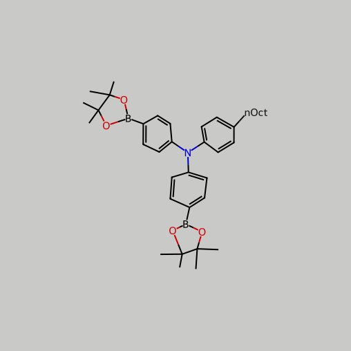 CCCCCCCCc1ccc(N(c2ccc(B3OC(C)(C)C(C)(C)O3)cc2)c2ccc(B3OC(C)(C)C(C)(C)O3)cc2)cc1